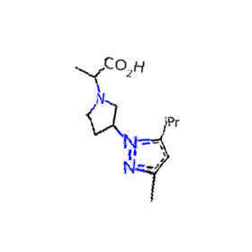 Cc1cc(C(C)C)n(C2CCN(C(C)C(=O)O)C2)n1